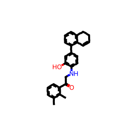 Cc1cccc(C(=O)CNc2ccc(-c3cccc4c3C=CCC4)cc2O)c1C